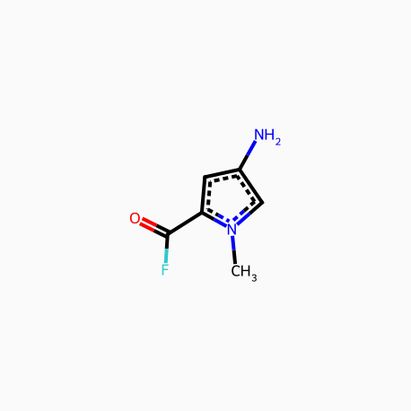 Cn1cc(N)cc1C(=O)F